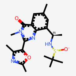 Cc1cc([C@@H](C)N[S+]([O-])C(C)(C)C)c2nc(-c3oc(C)nc3C)n(C)c(=O)c2c1